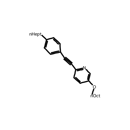 CCCCCCCCOc1ccc(C#Cc2ccc(CCCCCCC)cc2)nc1